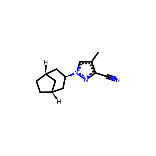 Cc1cn([C@H]2C[C@@H]3CC[C@@H](C3)C2)nc1C#N